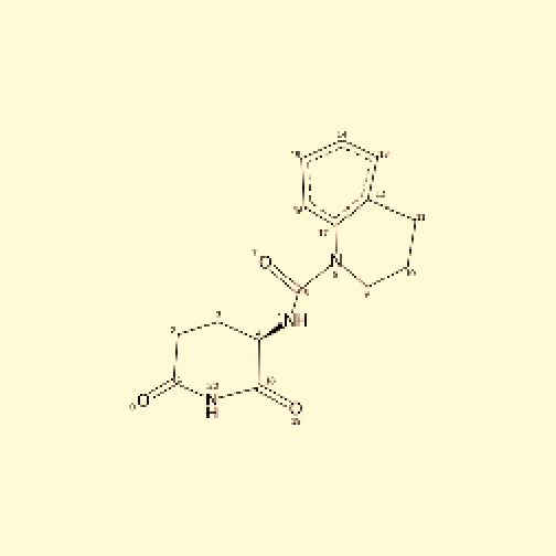 O=C1CC[C@@H](NC(=O)N2CCCc3ccccc32)C(=O)N1